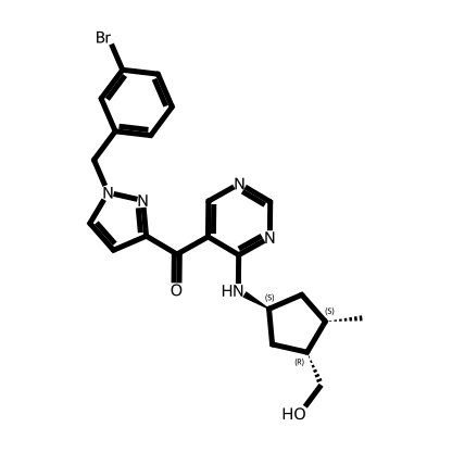 C[C@H]1C[C@H](Nc2ncncc2C(=O)c2ccn(Cc3cccc(Br)c3)n2)C[C@H]1CO